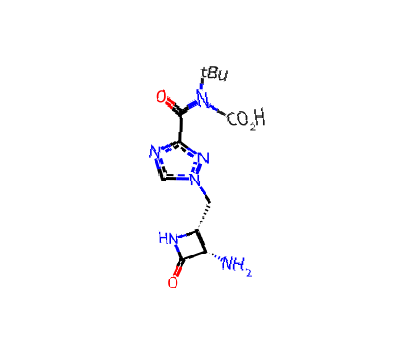 CC(C)(C)N(C(=O)O)C(=O)c1ncn(C[C@H]2NC(=O)[C@H]2N)n1